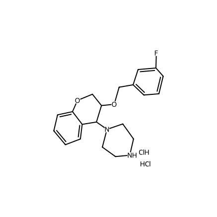 Cl.Cl.Fc1cccc(COC2COc3ccccc3C2N2CCNCC2)c1